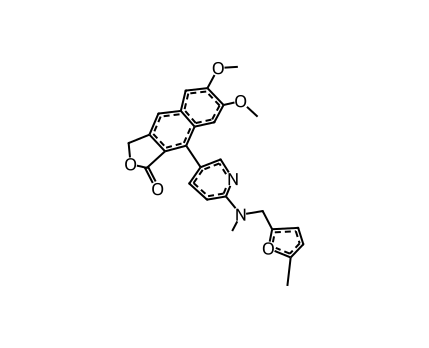 COc1cc2cc3c(c(-c4ccc(N(C)Cc5ccc(C)o5)nc4)c2cc1OC)C(=O)OC3